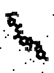 CN[C@@H]1CCN(C(=O)CNC(=O)c2ccc3c(c2)nc(Nc2nc4ccc(Cl)cc4s2)n3C)C1